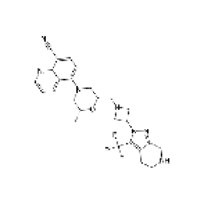 C[C@@H]1CN(c2ccc(C#N)c3ncccc23)C[C@H](CN2CC(n3nc4c(c3C(F)(F)F)CCNC4)C2)O1